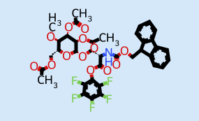 CO[C@H]1[C@H](OC(C)=O)[C@@H](OC(C)=O)[C@H](OC[C@H](NC(=O)OCC2c3ccccc3-c3ccccc32)C(=O)Oc2c(F)c(F)c(F)c(F)c2F)O[C@@H]1COC(C)=O